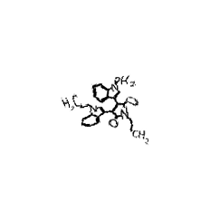 C=CCN1C(=O)C(c2cn(P)c3ccccc23)=C(c2cn(CC=C)c3ccccc23)C1=O